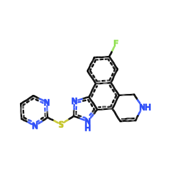 Fc1ccc2c(c1)c1c(c3[nH]c(Sc4ncccn4)nc32)C=CNC1